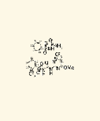 COc1nc(NC(=O)NS(=O)(=O)c2ccccc2C(F)(F)F)nc(C(F)(F)F)n1.NC(=O)NS(=O)(=O)c1ccccc1